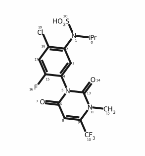 CC(C)N(c1cc(-n2c(=O)cc(C(F)(F)F)n(C)c2=O)c(F)cc1Cl)S(=O)(=O)O